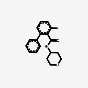 O=C(NC1CCOCC1)c1c(F)cccc1-c1ccccc1